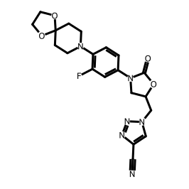 N#Cc1cn(CC2CN(c3ccc(N4CCC5(CC4)OCCO5)c(F)c3)C(=O)O2)nn1